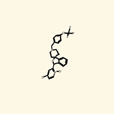 [O-][n+]1ccc(Cl)cc1C1OC2(CCN(Cc3ccc(OC(F)(F)F)cc3)CC2)c2ccccc21